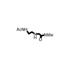 CNC(=O)CNCCNC(C)=O